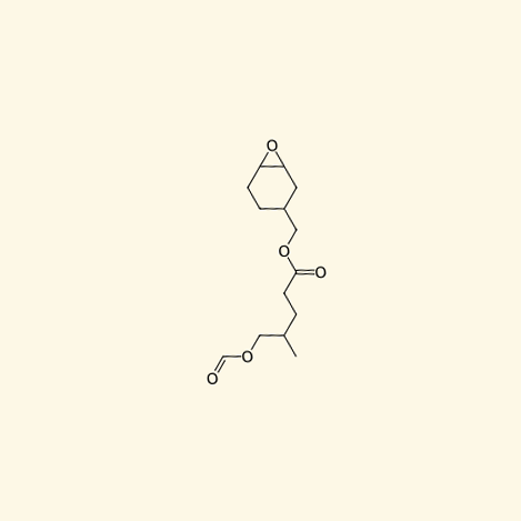 CC(CCC(=O)OCC1CCC2OC2C1)COC=O